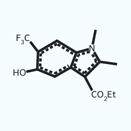 CCOC(=O)c1c(C)n(C)c2cc(C(F)(F)F)c(O)cc12